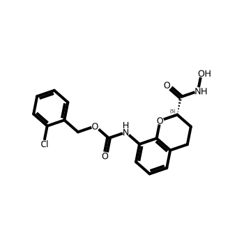 O=C(Nc1cccc2c1O[C@H](C(=O)NO)CC2)OCc1ccccc1Cl